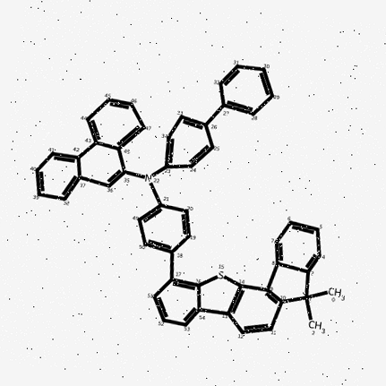 CC1(C)c2ccccc2-c2c1ccc1c2sc2c(-c3ccc(N(c4ccc(-c5ccccc5)cc4)c4cc5ccccc5c5ccccc45)cc3)cccc21